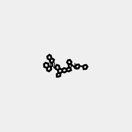 c1ccc(-c2ccc(-n3c4ccccc4c4c5cc6c7ccc(N(c8ccc9ccccc9c8)c8cccc9ccccc89)cc7c7ccccc7c6cc5ccc43)cc2)cc1